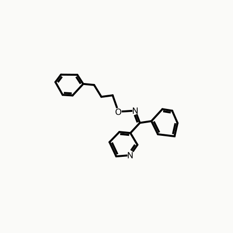 c1ccc(CCCON=C(c2ccccc2)c2cccnc2)cc1